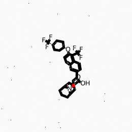 O=C(O)C1CC2CCCC(C1)N2CCCc1ccc2c(C(F)(F)F)c(O[C@H]3CC[C@@H](C(F)(F)F)CC3)ccc2c1